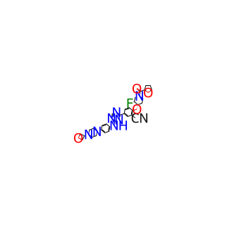 N#Cc1cc(-c2ncnc(Nc3ccc(N4CCN(C5COC5)CC4)cc3)n2)ccc1O[C@H]1CCN(C(=O)C2CCCO2)C[C@H]1F